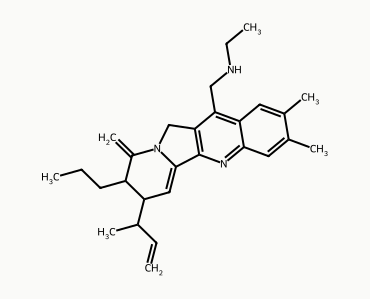 C=CC(C)C1C=C2c3nc4cc(C)c(C)cc4c(CNCC)c3CN2C(=C)C1CCC